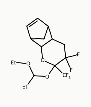 CCOC(CC)OC1(C(F)(F)F)OC2C3C=CC(C3)C2CC1(F)F